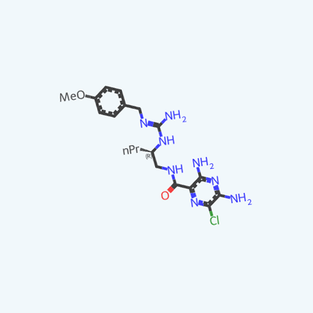 CCC[C@H](CNC(=O)c1nc(Cl)c(N)nc1N)NC(N)=NCc1ccc(OC)cc1